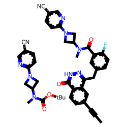 CC#Cc1ccc2c(=O)[nH]nc(Cc3ccc(F)c(C(=O)N(C)C4CN(c5ccc(C#N)cn5)C4)c3)c2c1.CN(C(=O)OC(C)(C)C)C1CN(c2ccc(C#N)cn2)C1